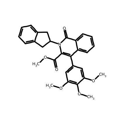 COC(=O)c1c(-c2cc(OC)c(OC)c(OC)c2)c2ccccc2c(=O)n1C1Cc2ccccc2C1